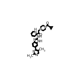 Cc1ncc(C)c(-c2ccc3nc(NC4(C(=O)CN5CCN(C(=O)C6CC6)CC5)C=CC=CN4)[nH]c3c2)n1